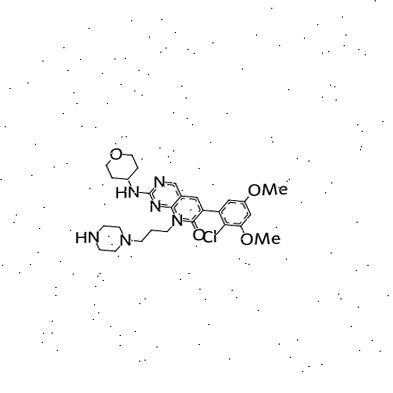 COc1cc(OC)c(Cl)c(-c2cc3cnc(NC4CCOCC4)nc3n(CCCN3CCNCC3)c2=O)c1